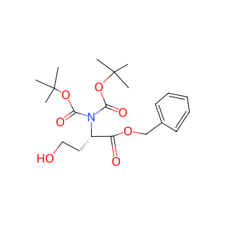 CC(C)(C)OC(=O)N(C(=O)OC(C)(C)C)[C@@H](CCO)C(=O)OCc1ccccc1